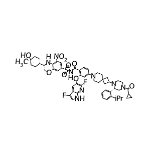 CC(C)c1ccccc1[C@H]1CN(C(=O)C2CC2)CCN1C1CC2(CCN(c3ccc(C(=O)NS(=O)(=O)c4cc5c(c([N+](=O)[O-])c4)N[C@@H]([C@H]4CC[C@](C)(O)CC4)CO5)c(Oc4cc5c(F)c[nH]c5nc4F)c3)CC2)C1